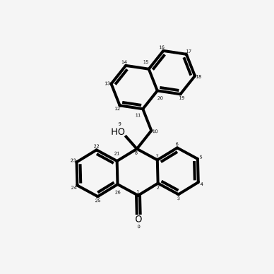 O=C1c2ccccc2C(O)(Cc2cccc3ccccc23)c2ccccc21